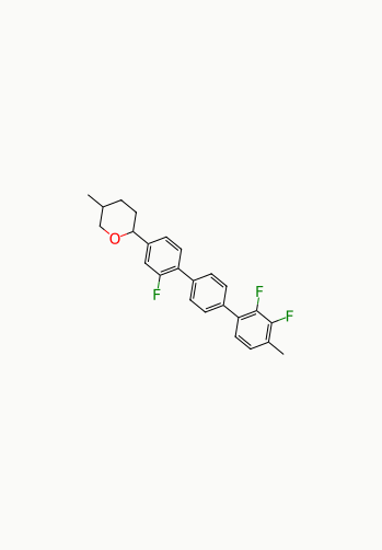 Cc1ccc(-c2ccc(-c3ccc(C4CCC(C)CO4)cc3F)cc2)c(F)c1F